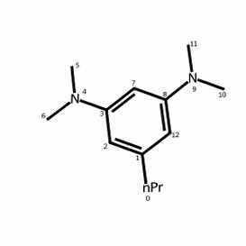 CCCc1cc(N(C)C)cc(N(C)C)c1